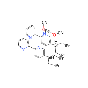 CC(C)C[SiH](CC(C)C)c1ccc(-c2ccccn2)nc1.CC(C)C[SiH](CC(C)C)c1ccc(-c2ccccn2)nc1.N#C[O][Fe][O]C#N